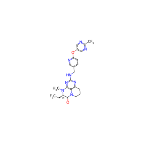 CN1c2nc(NCc3ccc(Oc4cnc(C(F)(F)F)nc4)nc3)nc3c2N(CCC3)C(=O)[C@H]1CC(F)(F)F